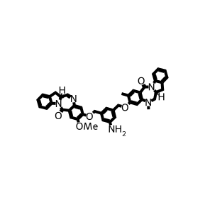 COc1cc2c(cc1OCc1cc(N)cc(COc3cc4c(cc3C)C(=O)N3c5ccccc5C[C@H]3CN4C)c1)N=C[C@@H]1Cc3ccccc3N1C2=O